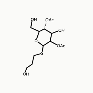 CC(=O)OC1C(SCCCO)OC(CO)[C@H](OC(C)=O)C1O